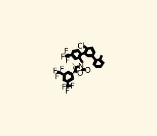 Cc1ccccc1-c1ccc(Cl)c(-c2ccc(C(F)(F)F)cc2CN2C(=O)O[C@H](c3cc(C(F)(F)F)cc(C(F)(F)F)c3)[C@@H]2C)c1